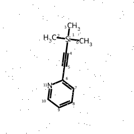 C[Si](C)(C)C#Cc1ccccn1